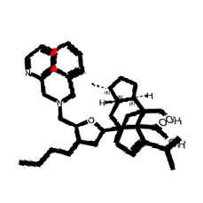 CCCCC1CC(C23C[C@@H]4[C@H](C)CC[C@H]4C4(CO)CC2C=C(C(C)C)C34C(=O)O)OC1CN(Cc1ccccn1)Cc1ccccn1